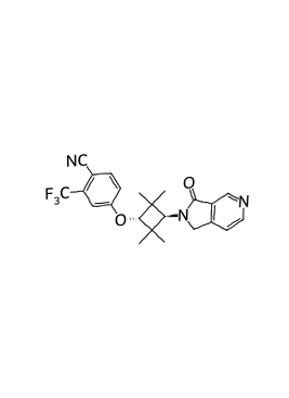 CC1(C)[C@H](Oc2ccc(C#N)c(C(F)(F)F)c2)C(C)(C)[C@H]1N1Cc2ccncc2C1=O